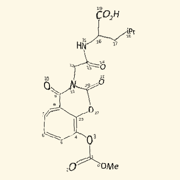 COC(=O)Oc1cccc2c(=O)n(CC(=O)NC(CC(C)C)C(=O)O)c(=O)oc12